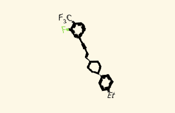 CCc1ccc([C@H]2CC[C@H](C=CC#Cc3ccc(C(F)(F)F)c(F)c3)CC2)cc1